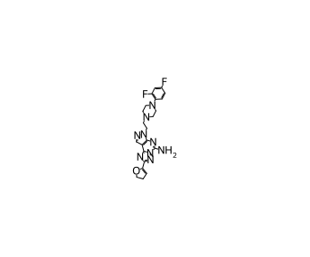 Nc1nc2c(cnn2CCN2CCN(c3ccc(F)cc3F)CC2)c2nc(C3=CCCO3)nn12